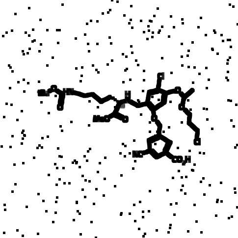 COC(=O)[C@H](CCCCNC(=O)OC(C)(C)C)NCc1cc(Cl)c(OC(C)OCCCCl)cc1OCc1cc(C#N)cc(C(=O)O)c1